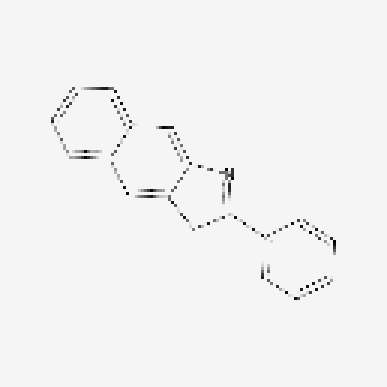 c1ccc(C2=Nc3cc4ccccc4cc3C2)cc1